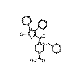 O=C(O)N1CCN(C(=O)c2nc(Cl)n(-c3ccccc3)c2-c2ccccc2)[C@H](Cc2ccccc2)C1